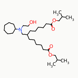 CC(C)COC(=O)CCCCCC(CCCCCC(=O)OCC(C)C)CN(CCO)C1CCCCCC1